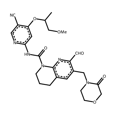 COCC(C)Oc1cc(NC(=O)N2CCCc3cc(CN4CCOCC4=O)c(C=O)nc32)ncc1C#N